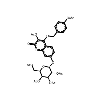 COc1ccc(COc2c(OC(C)=O)c(=O)oc3cc(O[C@@H]4O[C@H](COC(C)=O)[C@H](OC(C)=O)[C@H](OC(C)=O)[C@H]4OC(C)=O)ccc23)cc1